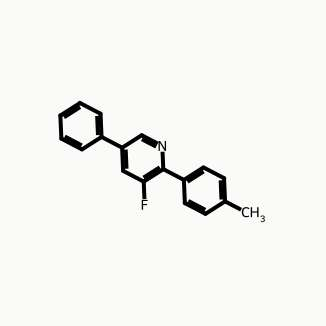 Cc1ccc(-c2ncc(-c3ccccc3)cc2F)cc1